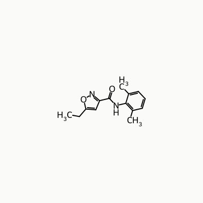 CCc1cc(C(=O)Nc2c(C)cccc2C)no1